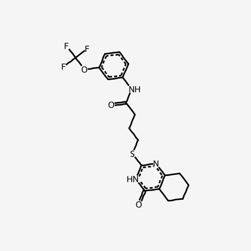 O=C(CCCSc1nc2c(c(=O)[nH]1)CCCC2)Nc1cccc(OC(F)(F)F)c1